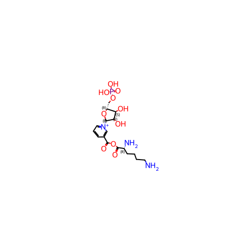 NCCCC[C@@H](N)C(=O)OC(=O)c1ccc[n+]([C@@H]2O[C@H](COP(=O)(O)O)[C@@H](O)[C@H]2O)c1